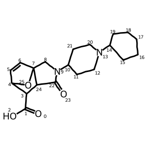 O=C(O)C1C2C=CC3(CN(C4CCN(C5CCCCC5)CC4)C(=O)C13)O2